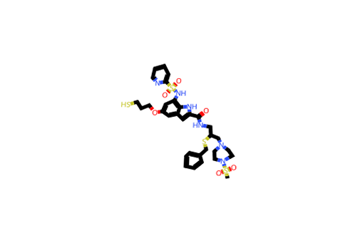 CS(=O)(=O)N1CCN(CC(CNC(=O)c2cc3cc(OCCCS)cc(NS(=O)(=O)c4ccccn4)c3[nH]2)SCc2ccccc2)CC1